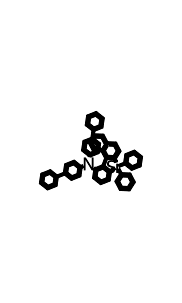 c1ccc(-c2ccc(N(c3ccc(-c4ccccc4)cc3)c3cccc4c3-c3c(ccc5ccccc35)[Si]4(c3ccccc3)c3ccccc3)cc2)cc1